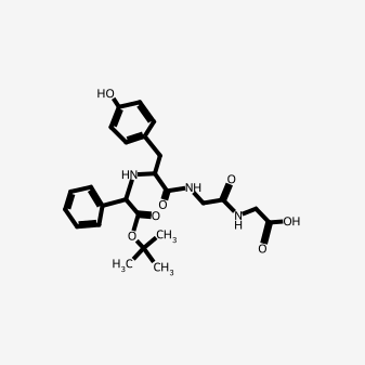 CC(C)(C)OC(=O)C(NC(Cc1ccc(O)cc1)C(=O)NCC(=O)NCC(=O)O)c1ccccc1